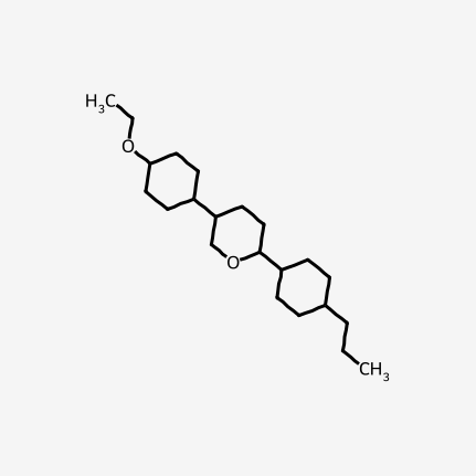 CCCC1CCC(C2CCC(C3CCC(OCC)CC3)CO2)CC1